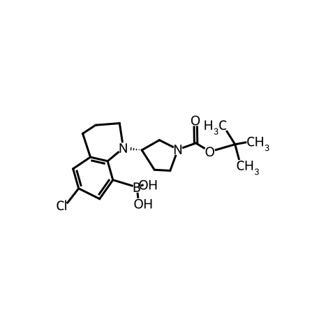 CC(C)(C)OC(=O)N1CC[C@H](N2CCCc3cc(Cl)cc(B(O)O)c32)C1